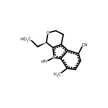 CCCn1c2c(c3c(C#N)ccc(C)c31)CCO[C@@H]2CC(=O)O